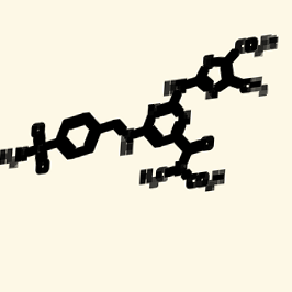 CCOC(=O)c1sc(Nc2nc(NCc3ccc(S(N)(=O)=O)cc3)cc(C(=O)N(C)C(=O)O)n2)nc1C